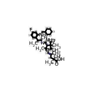 C=C(C)/C(=C(N)\N=C(/C)C(=C)c1ccc(F)cc1NCC1CCCCC1)C(C)(C=O)C(=C)O/C=C(\C)CC(C)(C)C(=O)O